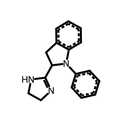 c1ccc(N2c3ccccc3CC2C2=NCCN2)cc1